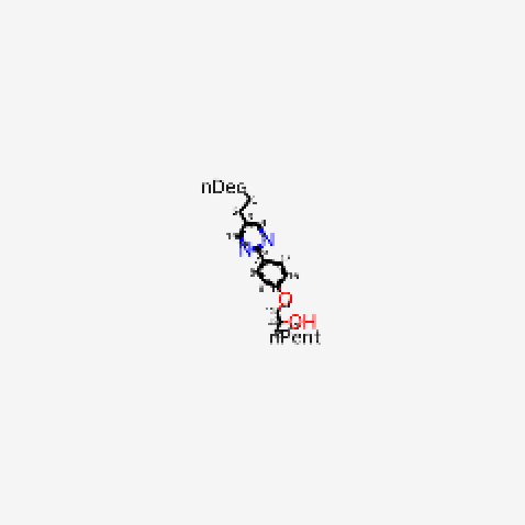 CCCCCCCCCCCCc1cnc(-c2ccc(OCC(O)CCCCC)cc2)nc1